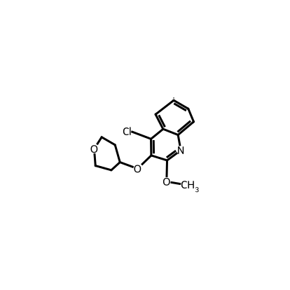 COc1nc2cc[c]cc2c(Cl)c1OC1CCOCC1